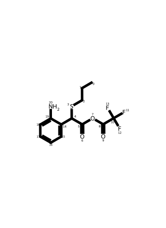 CCCSC(C(=O)OC(=O)C(F)(F)F)c1ccccc1N